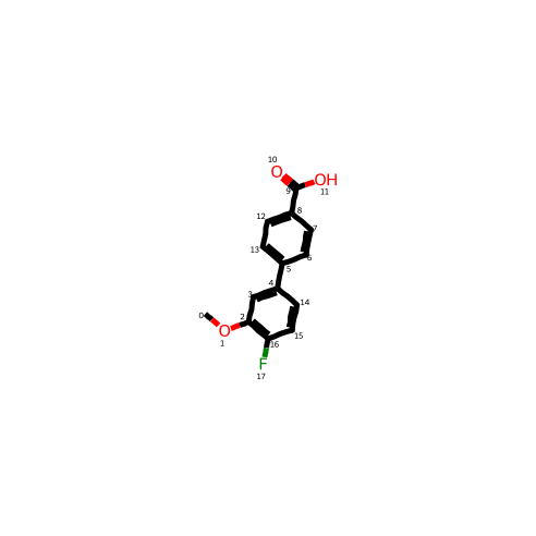 COc1cc(-c2ccc(C(=O)O)cc2)ccc1F